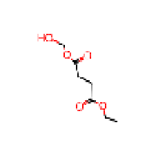 CCOC(=O)CCC(=O)OCO